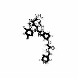 Cc1ccc(-n2cnc(C(N)=O)c2C(=O)Nc2nc3cc(OCC(=O)NCc4ccncc4)ccc3[nH]2)c(C)c1